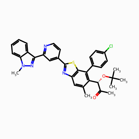 CC(=O)[C@@H](OC(C)(C)C)c1c(C)cc2nc(-c3ccnc(-c4nn(C)c5ccccc45)c3)sc2c1-c1ccc(Cl)cc1